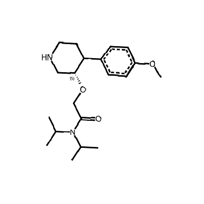 COc1ccc(C2CCNC[C@H]2OCC(=O)N(C(C)C)C(C)C)cc1